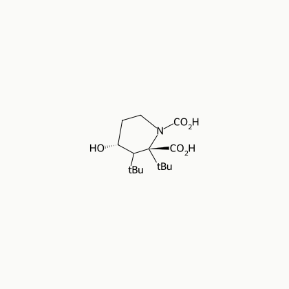 CC(C)(C)C1[C@H](O)CCN(C(=O)O)[C@]1(C(=O)O)C(C)(C)C